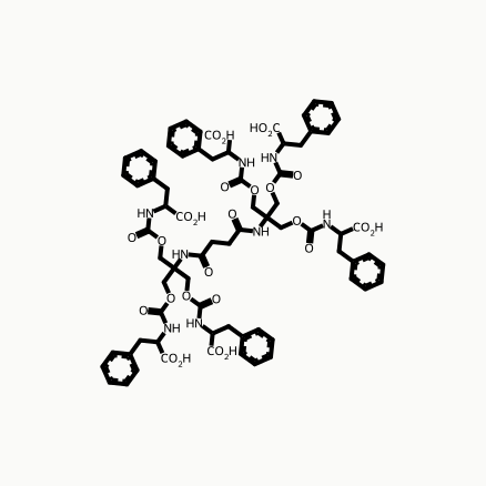 O=C(CCC(=O)NC(COC(=O)NC(Cc1ccccc1)C(=O)O)(COC(=O)NC(Cc1ccccc1)C(=O)O)COC(=O)NC(Cc1ccccc1)C(=O)O)NC(COC(=O)NC(Cc1ccccc1)C(=O)O)(COC(=O)NC(Cc1ccccc1)C(=O)O)COC(=O)NC(Cc1ccccc1)C(=O)O